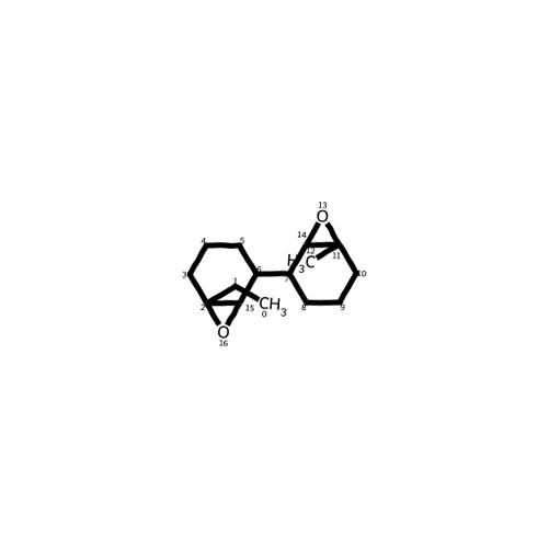 CCC12CCCC(C3CCCC4(C)OC34)C1O2